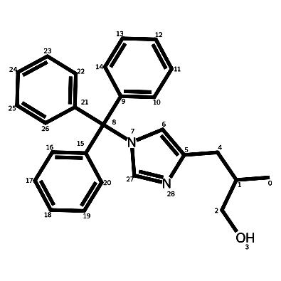 CC(CO)Cc1cn(C(c2ccccc2)(c2ccccc2)c2ccccc2)cn1